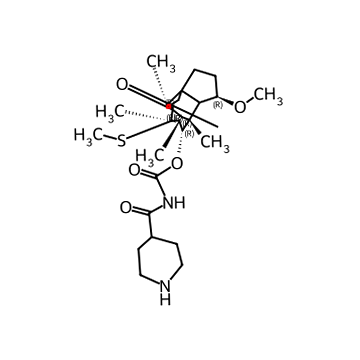 CO[C@@H]1CCC23CC[C@@H](C)[C@](C)(C12)[C@H](OC(=O)NC(=O)C1CCNCC1)C[C@@](C)(SC)C(=O)[C@@H]3C